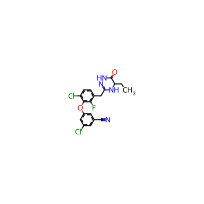 CCC1NC(Cc2ccc(Cl)c(Oc3cc(Cl)cc(C#N)c3)c2F)=NNC1=O